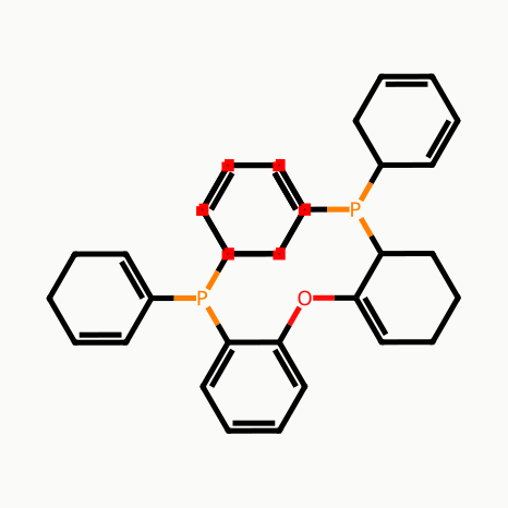 C1=CCC(P(C2=CCCC=C2)c2ccccc2OC2=CCCCC2P(C2=CCCCC2)C2C=CC=CC2)C=C1